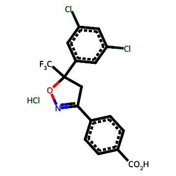 Cl.O=C(O)c1ccc(C2=NOC(c3cc(Cl)cc(Cl)c3)(C(F)(F)F)C2)cc1